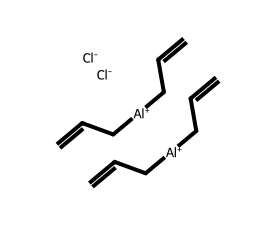 C=C[CH2][Al+][CH2]C=C.C=C[CH2][Al+][CH2]C=C.[Cl-].[Cl-]